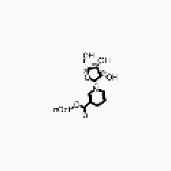 CCCCCCCCOC(=O)C1=CN([C@@H]2O[C@H](CO)[C@H](O)[C@@H]2O)C=CC1